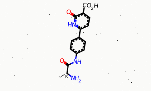 C[C@@H](N)C(=O)Nc1ccc(-c2ccc(C(=O)O)c(=O)[nH]2)cc1